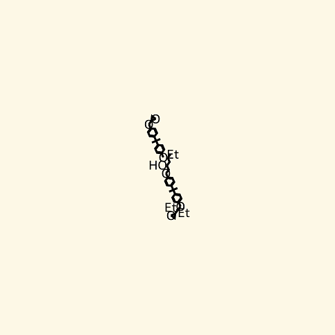 CCC(CC(O)COc1ccc(C(C)(C)c2ccc(OC(CC)(CC)C3CO3)cc2)cc1)Oc1ccc(C(C)(C)c2ccc(OC3CO3)cc2)cc1